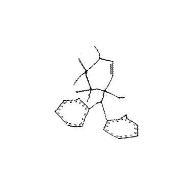 CC1C=CC(C)(C(c2ccccc2)c2ccccc2)C(C)(C)C1(C)C